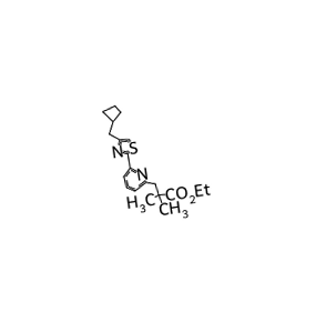 CCOC(=O)C(C)(C)Cc1cccc(-c2nc(CC3CCC3)cs2)n1